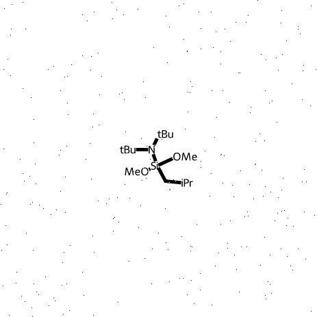 CO[Si](CC(C)C)(OC)N(C(C)(C)C)C(C)(C)C